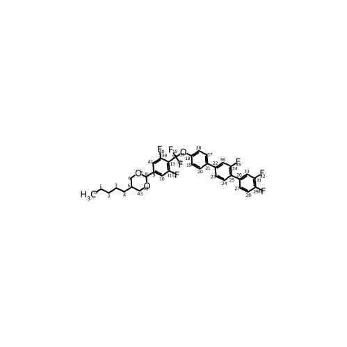 CCCCCC1COC(c2cc(F)c(C(F)(F)Oc3ccc(-c4ccc(-c5ccc(F)c(F)c5)c(F)c4)cc3)c(F)c2)OC1